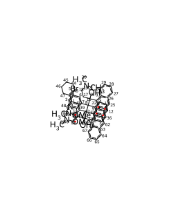 COc1ncc(Br)cc1C(c1ccccc1)(C(O)(CCN(C)C)c1cccc2ccccc12)C(c1ccccc1)(c1cc(C2=CCCCC2)cnc1OC)C(O)(CCN(C)C)c1cccc2ccccc12